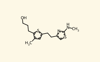 CNc1nc(CCc2cc(C)c(CCCO)s2)cs1